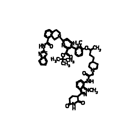 Cc1c(OC(C)CCC2CCN(CC(=O)Nc3cccc4c(C5CCC(=O)NC5=O)nn(C)c34)CC2)cccc1-c1ccc(N2CCc3cccc(C(=O)Nc4nc5ccccc5s4)c3C2)nc1C(=O)OC(C)(C)C